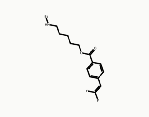 CCNCCCCCOC(=O)c1ccc(C=C(F)F)cc1